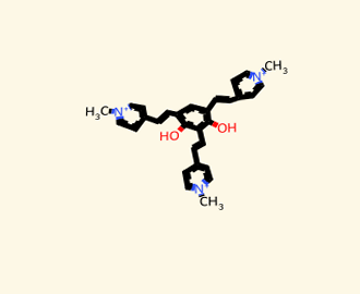 C[n+]1ccc(/C=C/c2cc(/C=C/c3cc[n+](C)cc3)c(O)c(/C=C/c3cc[n+](C)cc3)c2O)cc1